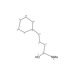 CNC(O)CCCC1CCCCC1